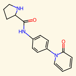 O=C(Nc1ccc(-n2ccccc2=O)cc1)C1CCCN1